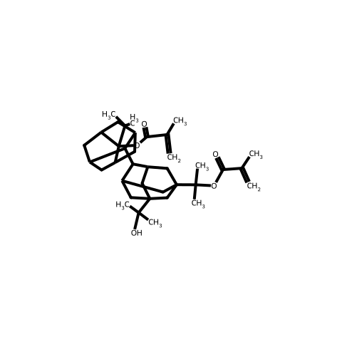 C=C(C)C(=O)OC1(C(C)C)C2CC3CC1CC(C2)C3C1C2CC3(C(C)(C)O)CC1CC(C(C)(C)OC(=O)C(=C)C)(C2)C3